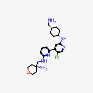 NC[C@H]1CC[C@H](Nc2cc(-c3cccc(NCC4(N)CCOCC4)n3)c(Cl)cn2)CC1